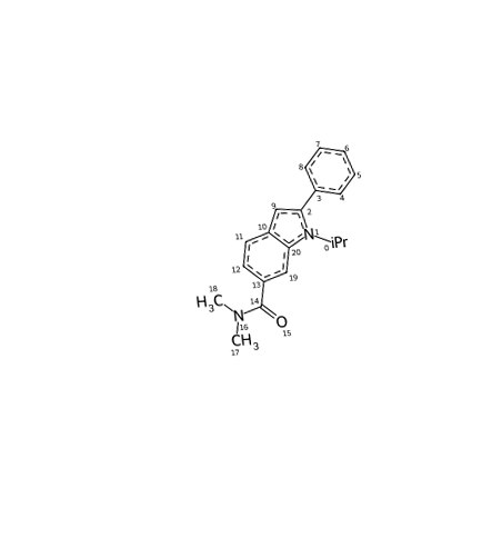 CC(C)n1c(-c2ccccc2)cc2ccc(C(=O)N(C)C)cc21